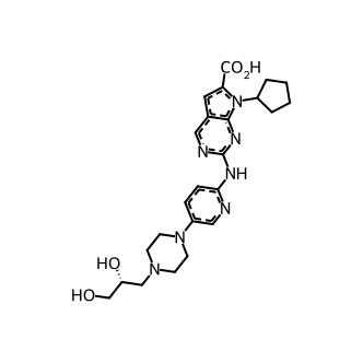 O=C(O)c1cc2cnc(Nc3ccc(N4CCN(C[C@@H](O)CO)CC4)cn3)nc2n1C1CCCC1